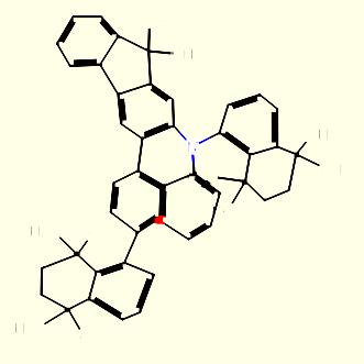 CC1(C)CCC(C)(C)c2c(-c3ccc(-c4cc5c(cc4N(c4ccccc4)c4cccc6c4C(C)(C)CCC6(C)C)C(C)(C)c4ccccc4-5)cc3)cccc21